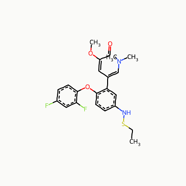 CCSNc1ccc(Oc2ccc(F)cc2F)c(C(/C=C(\C=O)OC)=C/N(C)C)c1